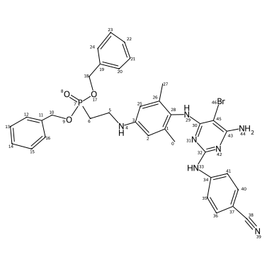 Cc1cc(NCCP(=O)(OCc2ccccc2)OCc2ccccc2)cc(C)c1Nc1nc(Nc2ccc(C#N)cc2)nc(N)c1Br